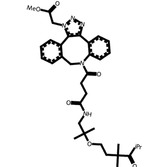 COC(=O)Cn1nnc2c1-c1ccccc1CN(C(=O)CCC(=O)NCC(C)(C)OCCC(C)(C)C(=O)C(C)C)c1ccccc1-2